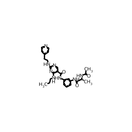 CCCNc1nc(NCCc2ccncc2)ncc1C(=O)Nc1cccc(NC(=O)[C@H](C)NC(C)=O)c1